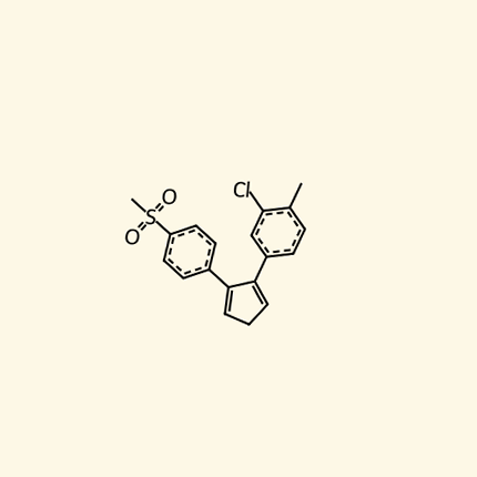 Cc1ccc(C2=CCC=C2c2ccc(S(C)(=O)=O)cc2)cc1Cl